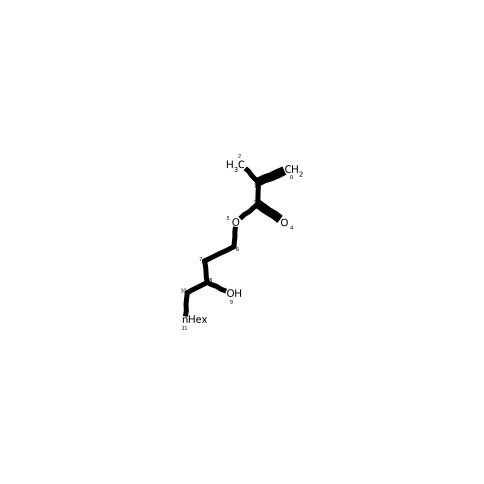 C=C(C)C(=O)OCCC(O)CCCCCCC